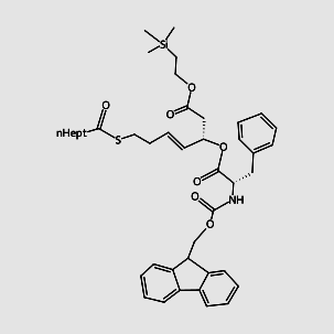 CCCCCCCC(=O)SCC/C=C/[C@H](CC(=O)OCC[Si](C)(C)C)OC(=O)[C@H](Cc1ccccc1)NC(=O)OCC1c2ccccc2-c2ccccc21